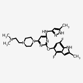 Cc1cc(Nc2cc(N3CCN(CCN(C)C)CC3)nc(Oc3cc(F)c4[nH]c(C)cc4c3F)n2)n[nH]1